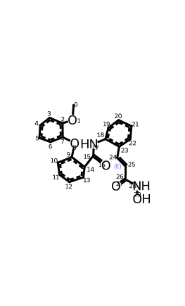 COc1ccccc1Oc1ccccc1C(=O)Nc1ccccc1/C=C/C(=O)NO